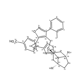 Cc1ccccc1-c1noc(C2CC2)c1CO[C@H]1C[C@H]2CC[C@@H](C1)N2c1nc(-c2ccc(C(=O)O)cc2)cs1